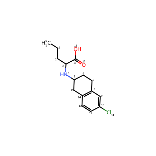 CCCC(NC1CCc2cc(Cl)ccc2C1)C(=O)O